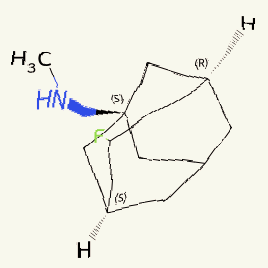 CN[C@]12CC3C[C@H](C1)C(F)[C@@H](C3)C2